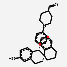 O=CC1CCN(c2ccc([C@H]3c4ccc(O)cc4CC[C@]34CCCc3ccccc34)cc2)CC1